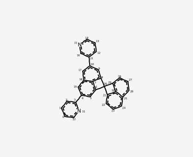 c1ccc(-c2cc3c4c(cc(-c5cccnc5)cc4c2)C32c3cccc4cccc2c34)nc1